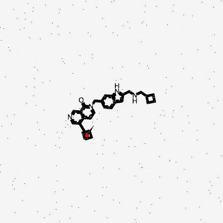 O=c1c2cncc(N3CC4CC3C4)c2ccn1Cc1ccc2cc(CNCC3CCC3)[nH]c2c1